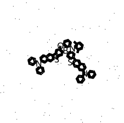 Cc1cccc(C)c1N1c2cc3c(cc2B2c4cc5sc6cc7cc(N(c8ccccc8)c8ccccc8)ccc7cc6c5cc4Oc4cccc1c42)sc1cc2cc(N(c4ccccc4)c4ccccc4)ccc2cc13